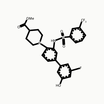 COC(=O)C1CCN(c2ccc(-c3cc(O)cc(F)c3)cc2NS(=O)(=O)c2cccc(C(F)(F)F)c2)CC1